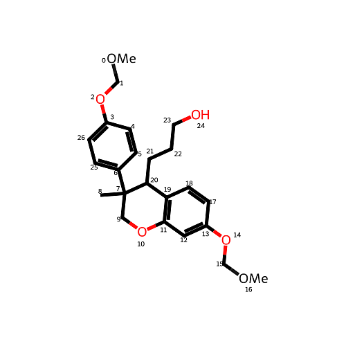 COCOc1ccc(C2(C)COc3cc(OCOC)ccc3C2CCCO)cc1